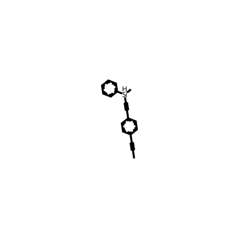 CC#Cc1ccc(C#C[SiH](C)c2ccccc2)cc1